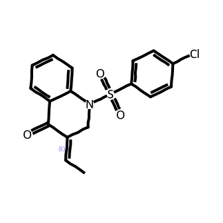 C/C=C1\CN(S(=O)(=O)c2ccc(Cl)cc2)c2ccccc2C1=O